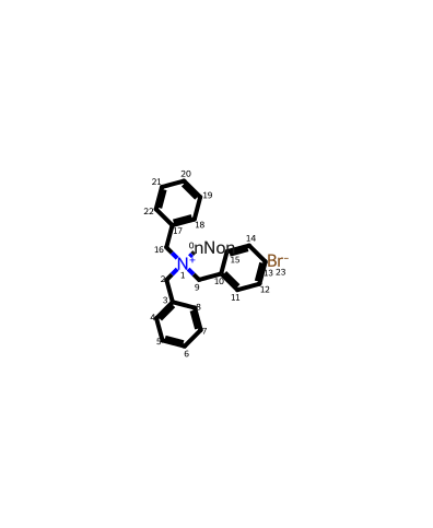 CCCCCCCCC[N+](Cc1ccccc1)(Cc1ccccc1)Cc1ccccc1.[Br-]